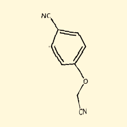 N#CCOc1c[c]c(C#N)cc1